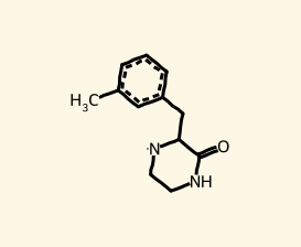 Cc1cccc(CC2[N]CCNC2=O)c1